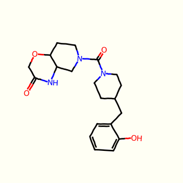 O=C1COC2CCN(C(=O)N3CCC(Cc4ccccc4O)CC3)CC2N1